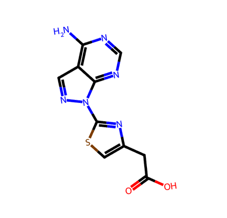 Nc1ncnc2c1cnn2-c1nc(CC(=O)O)cs1